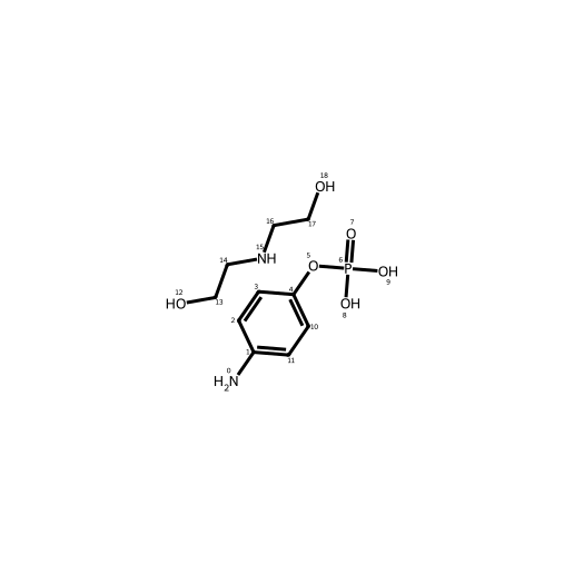 Nc1ccc(OP(=O)(O)O)cc1.OCCNCCO